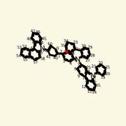 C1=C(c2ccc(N(c3ccc4c5ccccc5n(-c5ccccc5)c4c3)c3ccccc3-c3ccccc3)cc2)CCC(n2c3ccccc3c3c4ccccc4ccc32)=C1